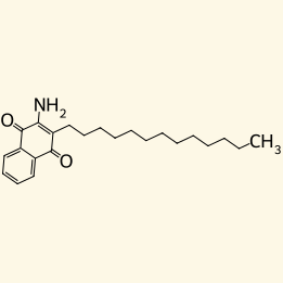 CCCCCCCCCCCCCC1=C(N)C(=O)c2ccccc2C1=O